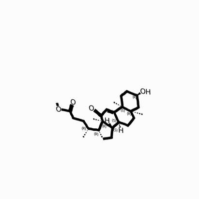 COC(=O)CC[C@@H](C)[C@H]1CC[C@H]2[C@@H]3CC[C@]4(C)C[C@H](O)CC[C@]4(C)C3=CC(=O)[C@]12C